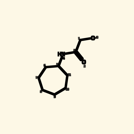 [O]CC(=O)NC1CCCCCC1